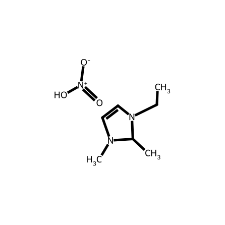 CCN1C=CN(C)C1C.O=[N+]([O-])O